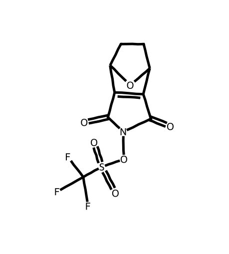 O=C1C2=C(C(=O)N1OS(=O)(=O)C(F)(F)F)C1CCC2O1